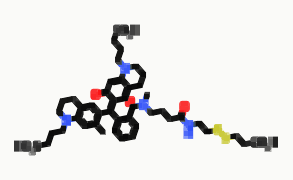 Cc1cc2c(cc1/C(=C1/C=C3CCCN(CCCS(=O)(=O)O)C3=CC1=O)c1ccccc1C(=O)N(C)CCCC(=O)NCCSSCCC(=O)O)CCCN2CCCS(=O)(=O)O